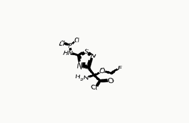 NC(OCF)(C(=O)Cl)c1nsc(NP(Cl)Cl)n1